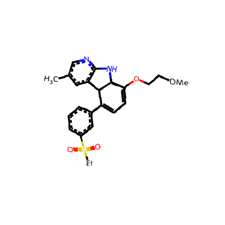 CCS(=O)(=O)c1cccc(C2=CC=C(OCCOC)C3Nc4ncc(C)cc4C23)c1